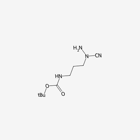 CC(C)(C)OC(=O)NCCCN(N)C#N